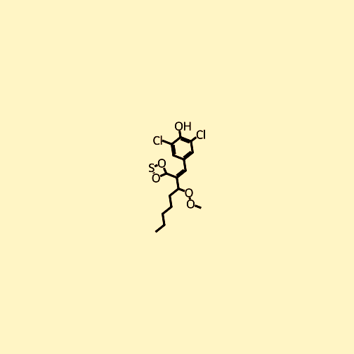 CCCCCC(OOC)C(=Cc1cc(Cl)c(O)c(Cl)c1)C1OSO1